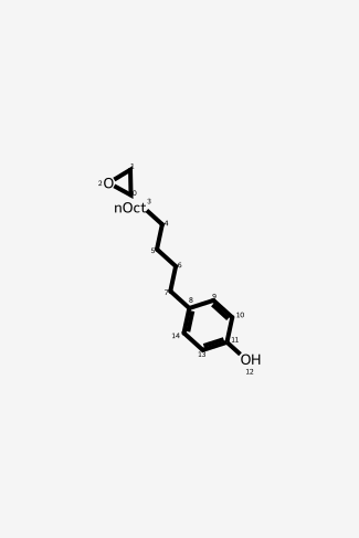 C1CO1.CCCCCCCCCCCCc1ccc(O)cc1